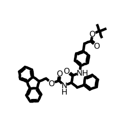 CC(C)(C)OC(=O)Cc1ccc(NC(=O)C(Cc2ccccc2)NC(=O)OCC2c3ccccc3-c3ccccc32)cc1